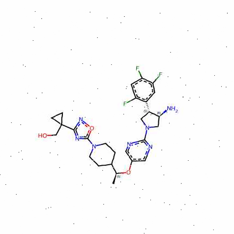 C[C@H](Oc1cnc(N2C[C@H](c3cc(F)c(F)cc3F)[C@@H](N)C2)nc1)C1CCN(c2nc(C3(CO)CC3)no2)CC1